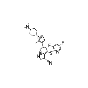 Cc1c(-c2cc(Sc3ncc(F)cc3F)c3c(C#N)cnn3c2)cnn1[C@H]1CC[C@@H](N(C)C)CC1